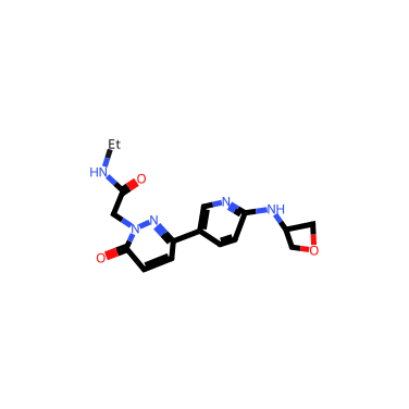 CCNC(=O)Cn1nc(-c2ccc(NC3COC3)nc2)ccc1=O